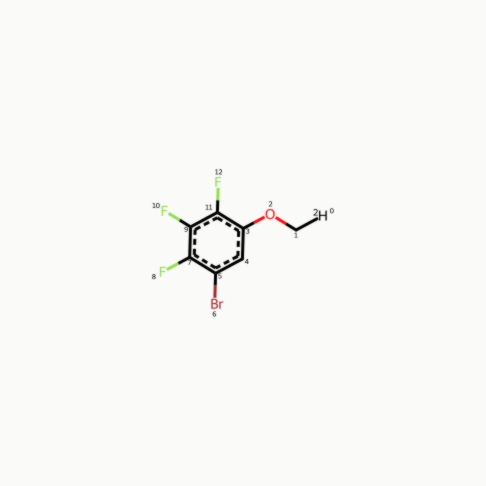 [2H]COc1cc(Br)c(F)c(F)c1F